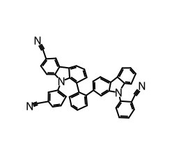 N#Cc1cccc(-n2c3ccc(C#N)cc3c3cccc(-c4ccccc4-c4ccc5c6ccccc6n(-c6ccccc6C#N)c5c4)c32)c1